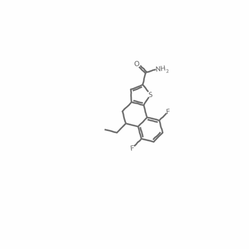 CCC1Cc2cc(C(N)=O)sc2-c2c(F)ccc(F)c21